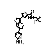 Nc1ccc(-c2cnc3c(-c4csc(C(=O)NCC(F)(F)F)c4)cnn3c2)cn1